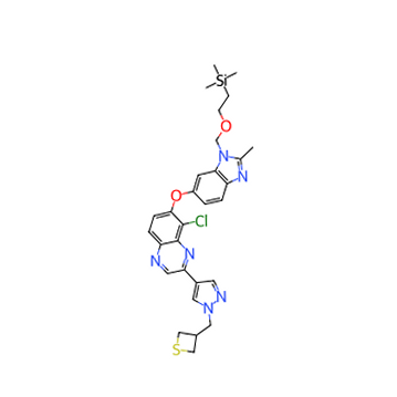 Cc1nc2ccc(Oc3ccc4ncc(-c5cnn(CC6CSC6)c5)nc4c3Cl)cc2n1COCC[Si](C)(C)C